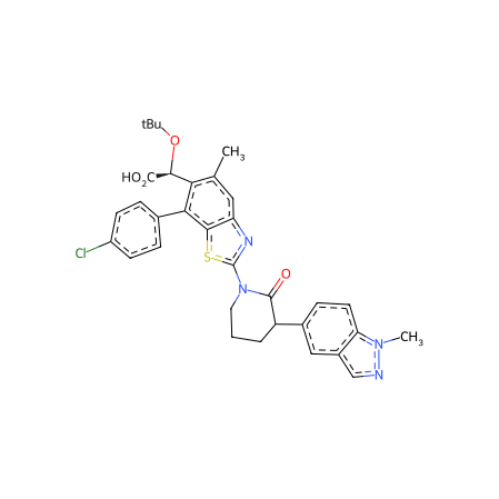 Cc1cc2nc(N3CCCC(c4ccc5c(cnn5C)c4)C3=O)sc2c(-c2ccc(Cl)cc2)c1[C@H](OC(C)(C)C)C(=O)O